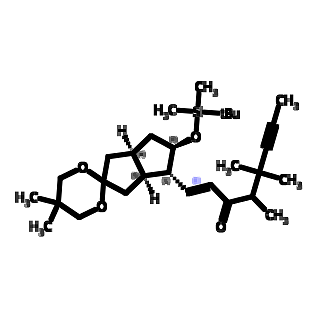 CC#CC(C)(C)C(C)C(=O)/C=C/[C@@H]1[C@H]2CC3(C[C@H]2C[C@H]1O[Si](C)(C)C(C)(C)C)OCC(C)(C)CO3